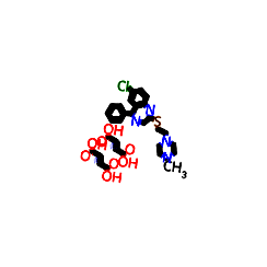 CN1CCN(CCSC2=Nc3ccc(Cl)cc3C(c3ccccc3)=NC2)CC1.O=C(O)/C=C/C(=O)O.O=C(O)/C=C/C(=O)O